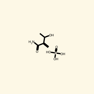 C=C(C(N)=O)C(C)O.O=P(O)(O)O